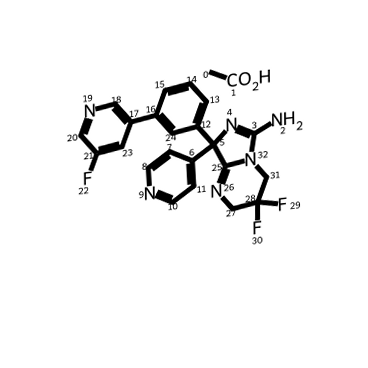 CC(=O)O.NC1=NC(c2ccncc2)(c2cccc(-c3cncc(F)c3)c2)C2=NCC(F)(F)CN12